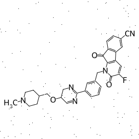 CN1CCC(COC2C=NC(c3cccc(Cn4c5c(cc(F)c4=O)-c4cc(C#N)ccc4C5=O)c3)=NC2)CC1